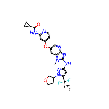 Cn1c(Nc2cc(C(F)(F)C(F)(F)F)n(C3CCOC3)n2)nc2ncc(Oc3ccnc(NC(=O)C4CC4)c3)cc21